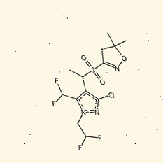 CC(c1c(Cl)nn(CC(F)F)c1C(F)F)S(=O)(=O)C1=NOC(C)(C)C1